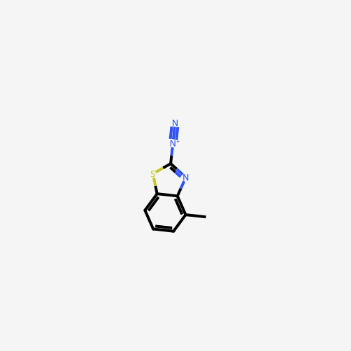 Cc1cccc2sc([N+]#N)nc12